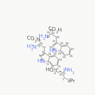 CC(C)C[C@H](N)C(=O)O.N[C@@H](Cc1c[nH]c2ccccc12)C(=O)O.N[C@@H](Cc1c[nH]c2ccccc12)C(=O)O